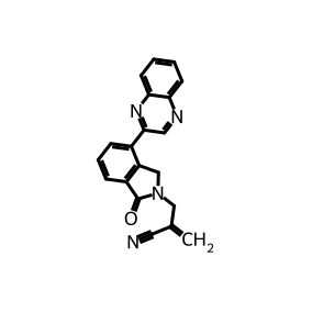 C=C(C#N)CN1Cc2c(cccc2-c2cnc3ccccc3n2)C1=O